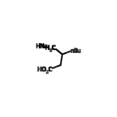 CCCCC(C)CC(=O)O.[NaH]